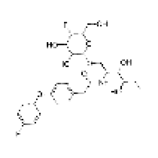 CC[C@@H](O)[C@@H](O)[C@H](CO[C@H]1OC(CO)[C@@H](F)[C@H](O)C1O)NC(=O)Cc1ccc(Oc2ccc(F)cc2)cc1